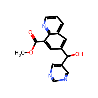 COC(=O)c1cc(C(O)c2cncnc2)cc2cccnc12